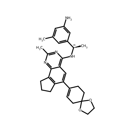 Cc1cc(N)cc([C@@H](C)Nc2nc(C)nc3c4c(c(C5=CCC6(CC5)OCCO6)cc23)CCC4)c1